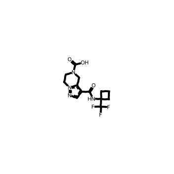 O=C(NC1(C(F)(F)F)CCC1)c1cnn2c1CN(C(=O)O)CC2